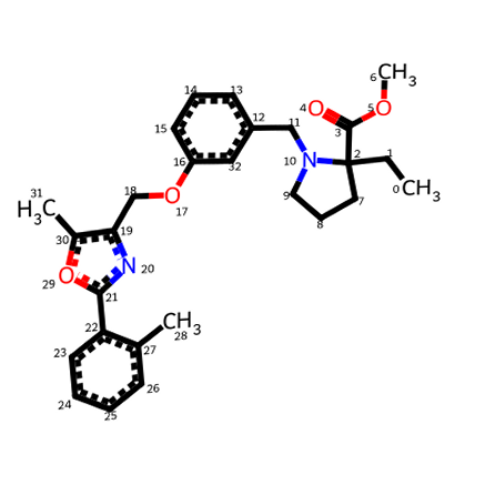 CCC1(C(=O)OC)CCCN1Cc1cccc(OCc2nc(-c3ccccc3C)oc2C)c1